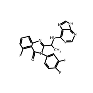 CC(Nc1ncnc2[nH]cnc12)c1nc2cccc(F)c2c(=O)n1-c1ccc(F)c(F)c1